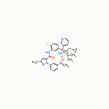 C=Nc1cccc(-n2nc(C)cc2C(=O)Nc2cc(C(CCC3CC3)(N[S@+]([O-])C(C)(C)C)c3cccnc3)ccc2F)c1